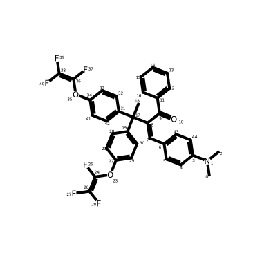 CN(C)c1ccc(C=C(C(=O)c2ccccc2)C(C)(c2ccc(OC(F)=C(F)F)cc2)c2ccc(OC(F)=C(F)F)cc2)cc1